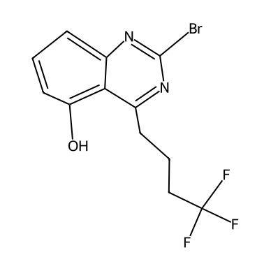 Oc1cccc2nc(Br)nc(CCCC(F)(F)F)c12